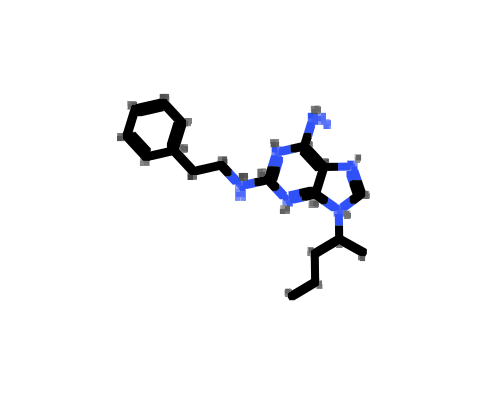 CCCC(C)n1cnc2c(N)nc(NCCc3ccccc3)nc21